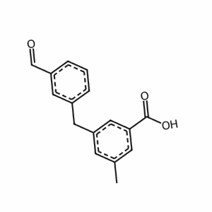 Cc1cc(Cc2cccc(C=O)c2)cc(C(=O)O)c1